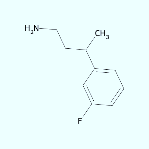 CC(CCN)c1cccc(F)c1